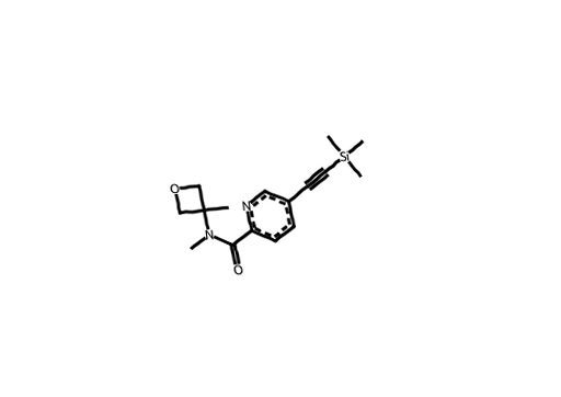 CN(C(=O)c1ccc(C#C[Si](C)(C)C)cn1)C1(C)COC1